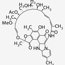 CO[C@H]1/C=C/O[C@@]2(C)Oc3c(C)c(O)c4c(c3C2=O)C2NC3C=C(C)C=CN3C2=C(NC(=O)/C(C)=C\C=C\[C@H](C)[C@H](O)[C@@H](C)[C@@H](O)[C@@H](C)[C@H](OC(C)=O)[C@@H]1C)C4=O